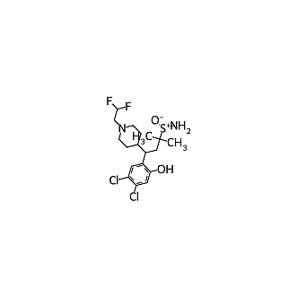 CC(C)(CC(c1cc(Cl)c(Cl)cc1O)C1CCN(CC(F)F)CC1)[S+](N)[O-]